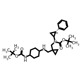 CC(C)(C)OC(=O)NC1CCC(NCC2(CN(C(=O)OC(C)(C)C)C3C[C@@H]3c3ccccc3)CC2)CC1